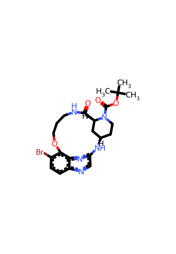 CC(C)(C)OC(=O)N1CC[C@H]2C[C@H]1C(=O)NCCCOc1c(Br)ccc3ncc(nc13)N2